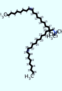 CCCCCCCC/C=C\CCCCCCCCC(C)(CCCCCCCC/C=C\CCCCCCCC)CN(C)C